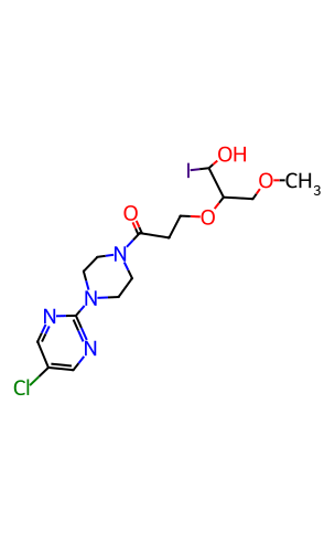 COCC(OCCC(=O)N1CCN(c2ncc(Cl)cn2)CC1)C(O)I